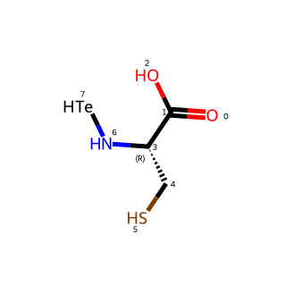 O=C(O)[C@H](CS)N[TeH]